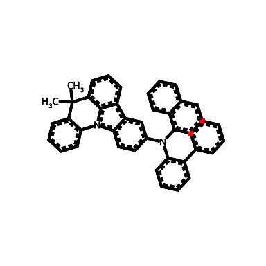 CC1(C)c2ccccc2-n2c3ccc(N(c4ccccc4-c4ccccc4)c4cccc5ccccc45)cc3c3cccc1c32